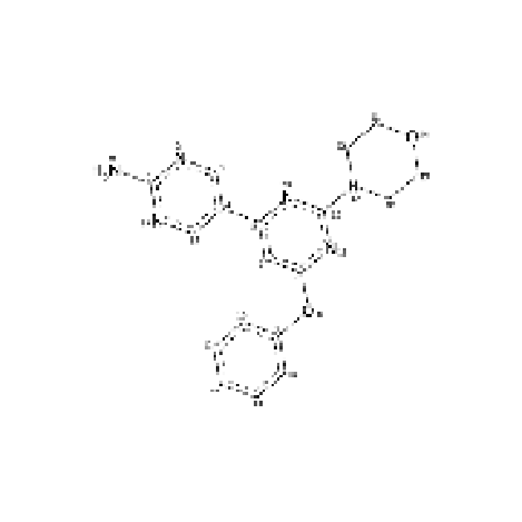 Nc1ncc(-c2cc(Oc3ccccc3)nc(N3CCOCC3)n2)cn1